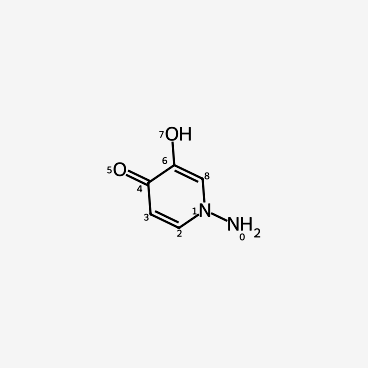 Nn1ccc(=O)c(O)c1